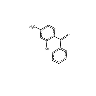 Cc1ccc(C(=O)c2ccccc2)c(S)c1